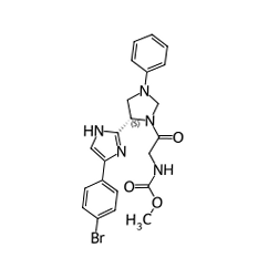 COC(=O)NCC(=O)N1CN(c2ccccc2)C[C@H]1c1nc(-c2ccc(Br)cc2)c[nH]1